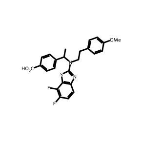 COc1ccc(CCN(c2nc3ccc(F)c(F)c3s2)C(C)c2ccc(C(=O)O)cc2)cc1